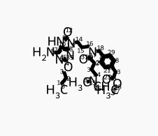 CCCCOc1nc(N)c2[nH]c(=O)n(CCCN(Cc3ccc(CC(=O)OC)cc3)C(=O)CCCN(C)C)c2n1